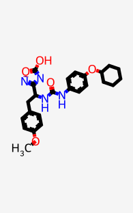 COc1ccc(CC(NC(=O)Nc2ccc(OC3CCCCC3)cc2)c2noc(O)n2)cc1